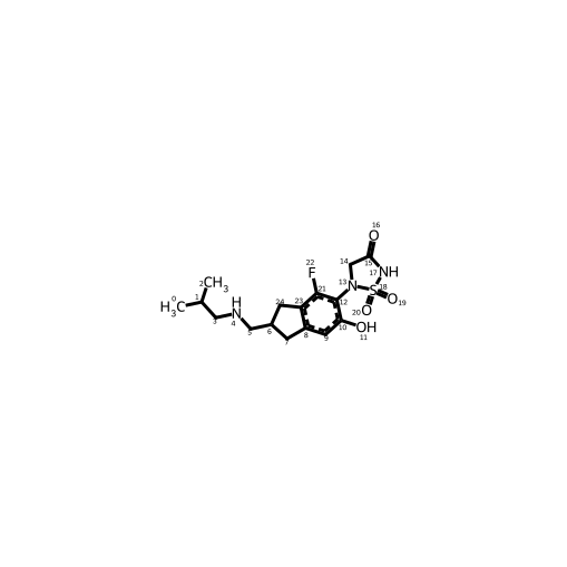 CC(C)CNCC1Cc2cc(O)c(N3CC(=O)NS3(=O)=O)c(F)c2C1